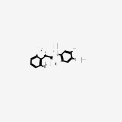 Cc1cc(C)c(NC(=O)c2nsc3cccc(F)c23)cc1F